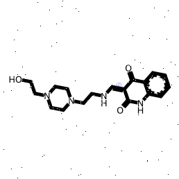 O=C1Nc2ccccc2C(=O)/C1=C/NCCN1CCN(CCO)CC1